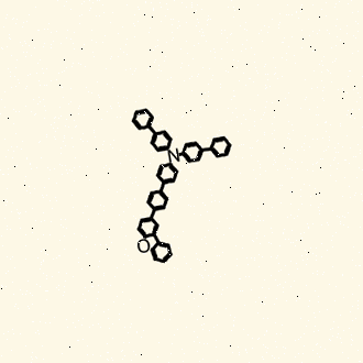 c1ccc(-c2ccc(N(c3ccc(-c4ccccc4)cc3)c3ccc(-c4ccc(-c5ccc6oc7ccccc7c6c5)cc4)cc3)cc2)cc1